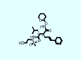 CC(C)C[C@@H](C(=O)NN(CCO)S(C)(=O)=O)[C@H](CC=Cc1ccccc1)C(=O)NOC1CCCCO1